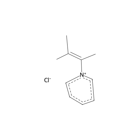 CC(C)=C(C)[n+]1ccccc1.[Cl-]